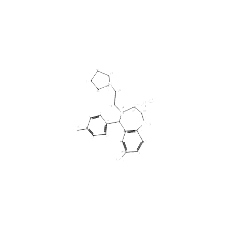 Cl.Cl.Clc1ccc(C2c3cc(Br)ccc3OCCN2CCN2CCCC2)cc1